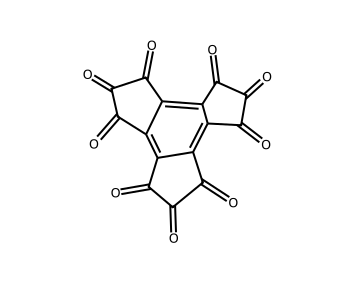 O=c1c(=O)c2c3c(=O)c(=O)c(=O)c3c3c(=O)c(=O)c(=O)c3c2c1=O